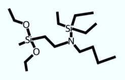 CCCCN(CC[Si](C)(OCC)OCC)[Si](CC)(CC)CC